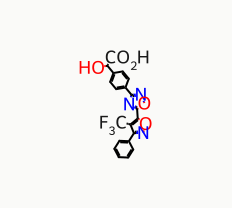 O=C(O)[C@H](O)c1ccc(-c2noc(-c3onc(-c4ccccc4)c3C(F)(F)F)n2)cc1